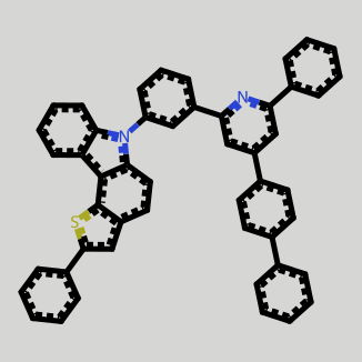 c1ccc(-c2ccc(-c3cc(-c4ccccc4)nc(-c4cccc(-n5c6ccccc6c6c7sc(-c8ccccc8)cc7ccc65)c4)c3)cc2)cc1